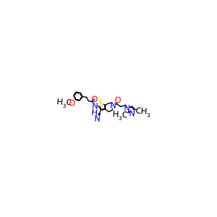 COc1cccc(CCC(=O)Nc2sc3c(c2C#N)CCN(C(=O)CCn2cc(C)nc2C)C3)c1